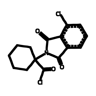 O=C1c2cccc(Cl)c2C(=O)N1C1(C(=O)Cl)CCCCC1